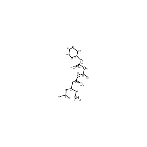 CC(C)CC(CN)CC(=O)OC(C)OC(=O)OC1CCCCC1